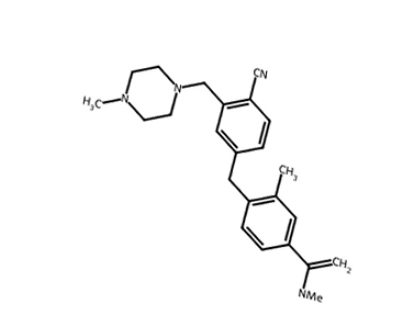 C=C(NC)c1ccc(Cc2ccc(C#N)c(CN3CCN(C)CC3)c2)c(C)c1